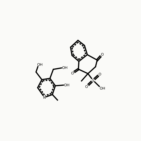 CC1(S(=O)(=O)O)CC(=O)c2ccccc2C1=O.Cc1ncc(CO)c(CO)c1O